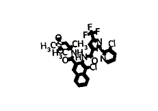 CC(C)(CS(C)(=O)=O)NC(=O)c1cc2ccccc2c(Cl)c1NC(=O)c1cc(C(F)(F)F)nn1-c1ncccc1Cl